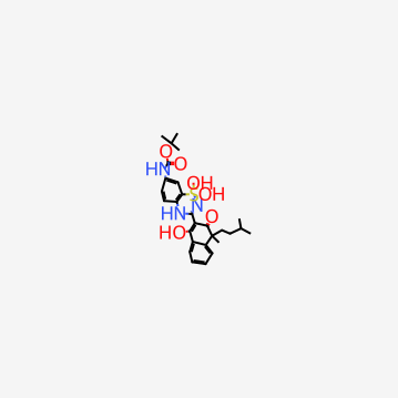 CC(C)CCC1(C)C(=O)C(C2=NS(O)(O)c3cc(NC(=O)OC(C)(C)C)ccc3N2)=C(O)c2ccccc21